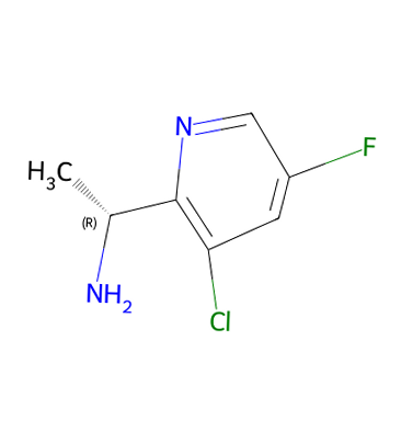 C[C@@H](N)c1ncc(F)cc1Cl